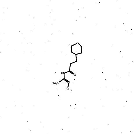 CC=C(NC(=O)CCC1CCCCC1)C(=O)O